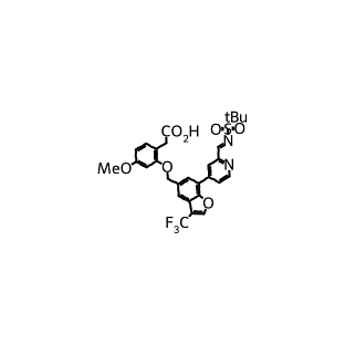 COc1ccc(CC(=O)O)c(OCc2cc(-c3ccnc(C=NS(=O)(=O)C(C)(C)C)c3)c3occ(C(F)(F)F)c3c2)c1